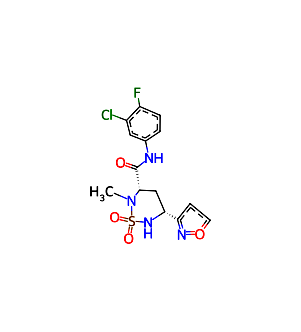 CN1[C@H](C(=O)Nc2ccc(F)c(Cl)c2)C[C@H](c2ccon2)NS1(=O)=O